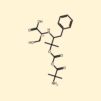 CC(C)(N)C(=O)OC(=O)OC(C)(C)C(Cc1ccccc1)N[C@@H](CO)C(=O)O